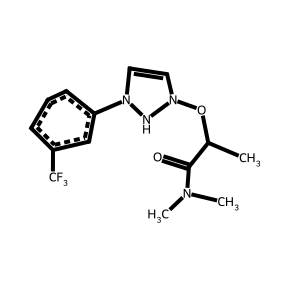 CC(ON1C=CN(c2cccc(C(F)(F)F)c2)N1)C(=O)N(C)C